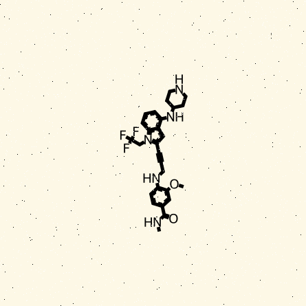 CNC(=O)c1ccc(NCC#Cc2cc3c(NC4CCNCC4)cccc3n2CC(F)(F)F)c(OC)c1